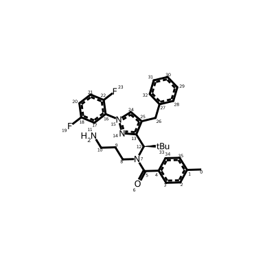 Cc1ccc(C(=O)N(CCCN)[C@@H](c2nn(-c3cc(F)ccc3F)cc2Cc2ccccc2)C(C)(C)C)cc1